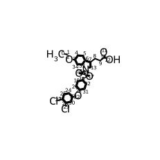 CCOc1ccc2c(CCC(=O)O)cn(S(=O)(=O)c3ccc(Oc4ccc(Cl)c(Cl)c4)cc3)c2c1